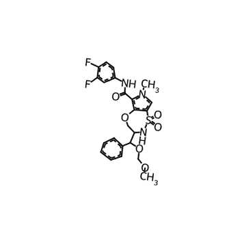 COCOC(c1ccccc1)C1COc2c(cn(C)c2C(=O)Nc2ccc(F)c(F)c2)S(=O)(=O)N1